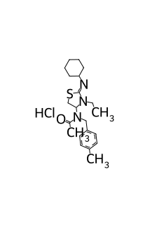 CCN1C(=NC2CCCCC2)SCC1N(Cc1ccc(C)cc1)C(C)=O.Cl